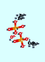 O=P([O-])([O-])[O-].O=P([O-])([O-])[O-].[Cu+2].[O-2].[Zn+2].[Zn+2].[Zn+2]